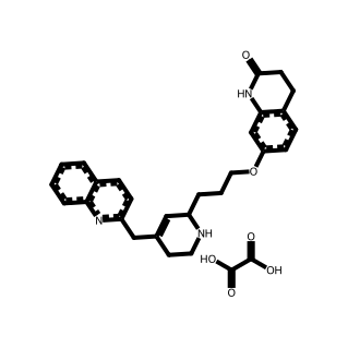 O=C(O)C(=O)O.O=C1CCc2ccc(OCCCC3C=C(Cc4ccc5ccccc5n4)CCN3)cc2N1